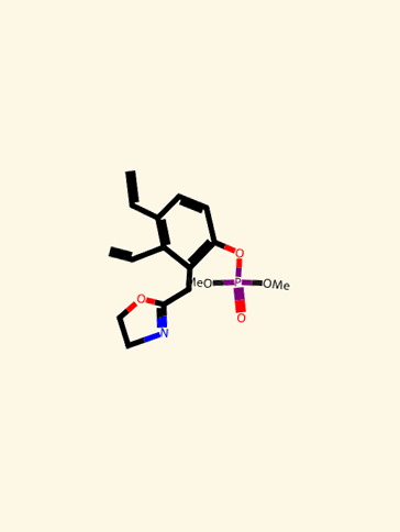 C=Cc1ccc(OP(=O)(OC)OC)c(CC2=NCCO2)c1C=C